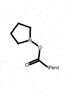 CCCC(C)C(=O)ON1[CH]CCC1